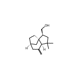 C=C1C[C@H]2CC[C@]3(C2)[C@@H](CO)CC(C)(C)[C@@H]13